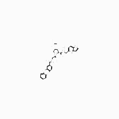 O=C(NCC(=O)N1C[C@H](OC(F)F)C[C@H]1C(=O)NCc1ccc2[nH]ccc2n1)c1ccc2c(c1)Oc1ccccc1S2